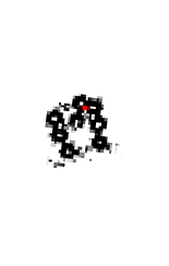 N#Cc1ccccc1-c1cc(-n2c3ccccc3c3ccc(-c4cc(C(F)(F)F)cc(C(F)(F)F)c4)cc32)ncc1-n1c2ccccc2c2ccc(-c3cc(C(F)(F)F)cc(C(F)(F)F)c3)cc21